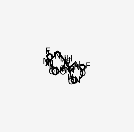 Cc1nc2cc(F)cc3c2n1C[C@H]1CN(CCCO1)C(=O)[C@@H]1C[C@@H](CN1c1nc2nc4c1cnn4-c1ccc(F)cc1OCCN1CCO[C@H](C2)C1)Nc1cccc-3n1